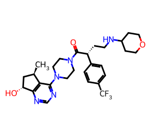 C[C@@H]1C[C@@H](O)c2ncnc(N3CCN(C(=O)[C@H](CCNC4CCOCC4)c4ccc(C(F)(F)F)cc4)CC3)c21